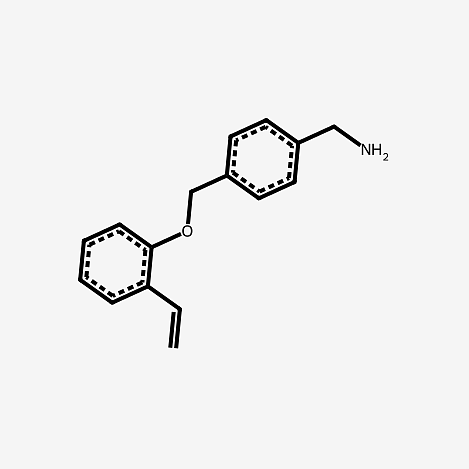 C=Cc1ccccc1OCc1ccc(CN)cc1